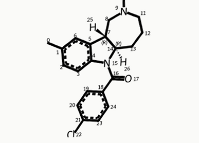 Cc1ccc2c(c1)[C@@H]1CN(C)CCC[C@H]1N2C(=O)c1ccc(Cl)cc1